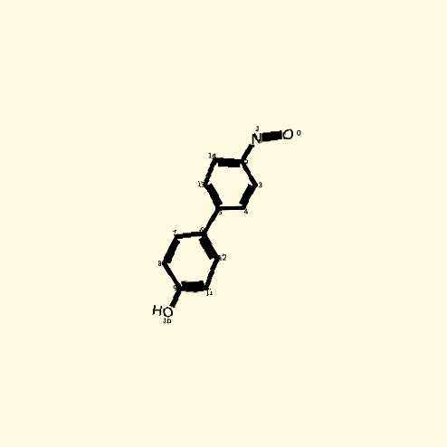 O=Nc1ccc(-c2ccc(O)cc2)cc1